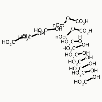 CCCCCCCCOC(=O)O.CCCCCCCCOC(=O)O.O=C(O)O.O=C(O)O.O=C(O)O.O=C(O)O.O=C(O)O.O=C(O)O.O=C(O)O.O=C(O)O.O=C(O)O.O=C(O)O